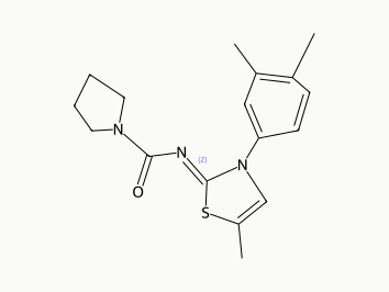 Cc1cn(-c2ccc(C)c(C)c2)/c(=N/C(=O)N2CCCC2)s1